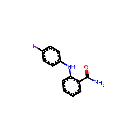 NC(=O)c1ccccc1Nc1ccc(I)cc1